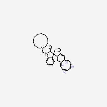 O=C1N(CN2CCCCCCCCCC2)c2ccccc2C12COc1cc3/c(cc12)=C\C=C/C=C\C=3